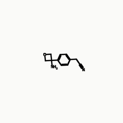 N#CCc1ccc(C2(N)COC2)cc1